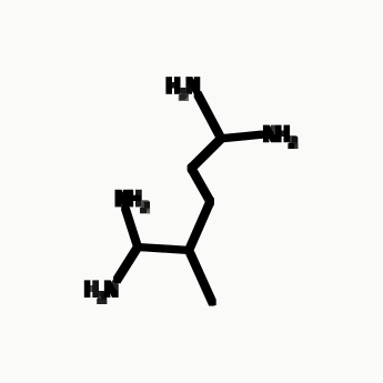 CC(CCC(N)N)C(N)N